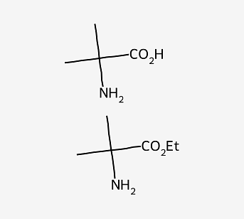 CC(C)(N)C(=O)O.CCOC(=O)C(C)(C)N